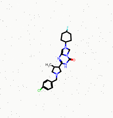 CC1CN(Cc2ccc(Cl)cc2)CC1C1=NC2=CN(C3CCC(F)CC3)CN2C(=O)N1